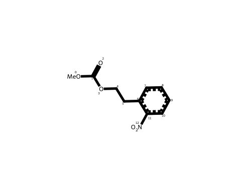 COC(=O)OCCc1ccccc1[N+](=O)[O-]